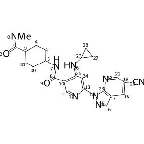 CNC(=O)C1CCC(NC(=O)c2cnc(-n3ncc4cc(C#N)cnc43)cc2NC2CC2)CC1